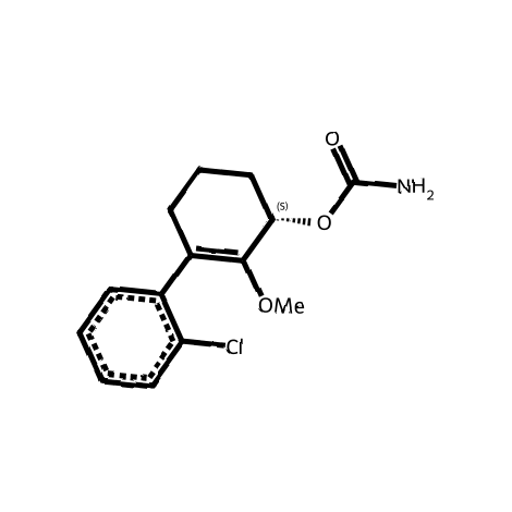 COC1=C(c2ccccc2Cl)CCC[C@@H]1OC(N)=O